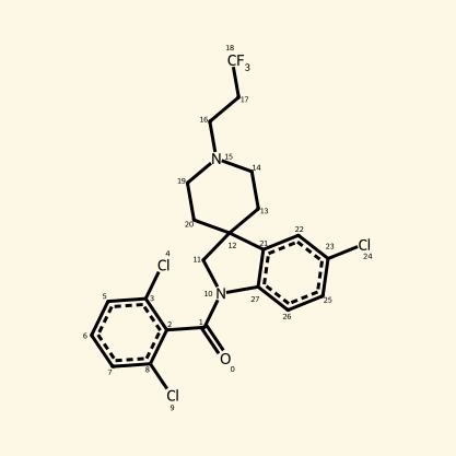 O=C(c1c(Cl)cccc1Cl)N1CC2(CCN(CCC(F)(F)F)CC2)c2cc(Cl)ccc21